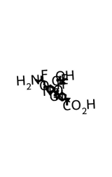 NC/C(=C/F)COc1ccc(S(=O)(=O)N2CCC3(CC2)CC3C(=O)O)cn1.O=C(O)C(F)(F)F